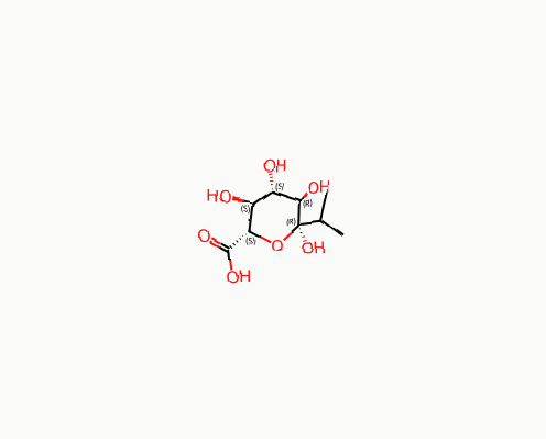 CC(C)[C@@]1(O)O[C@H](C(=O)O)[C@@H](O)[C@H](O)[C@H]1O